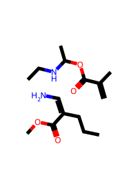 C=C(C)C(=O)OC(C)NCC.CCCC(=CN)C(=O)OC